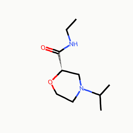 CCNC(=O)[C@@H]1CN(C(C)C)CCO1